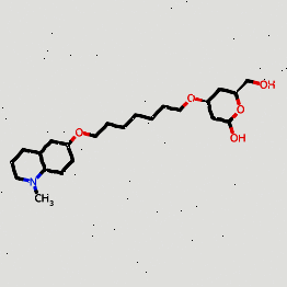 CN1CCCC2CC(OCCCCCCCO[C@@H]3CC(O)O[C@H](CO)C3)CCC21